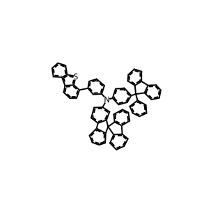 c1ccc(C2(c3ccc(N(c4cccc(-c5cccc6c5sc5ccccc56)c4)c4ccc5c(c4)C4(c6ccccc6-c6ccccc64)c4ccccc4-5)cc3)c3ccccc3-c3ccccc32)cc1